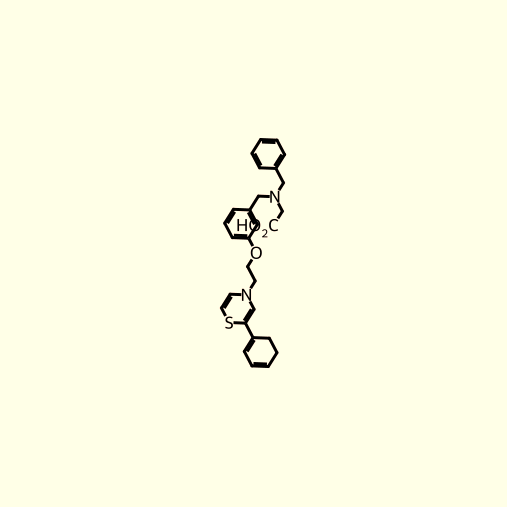 O=C(O)CN(Cc1ccccc1)Cc1cccc(OCCN2C=CSC(C3=CC=CCC3)=C2)c1